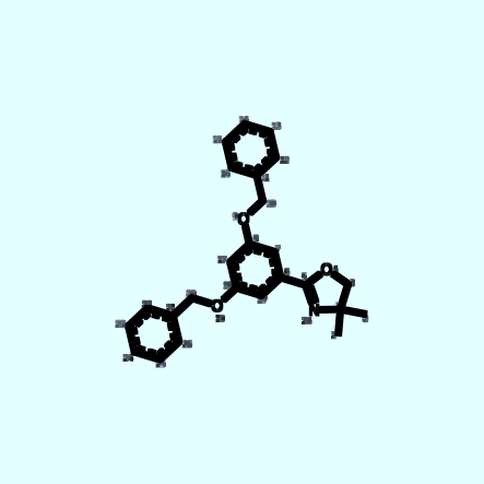 CC1(C)COC(c2cc(OCc3ccccc3)cc(OCc3ccccc3)c2)=N1